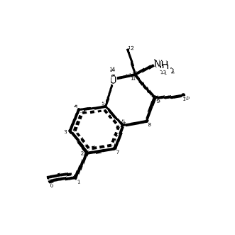 C=Cc1ccc2c(c1)CC(C)C(C)(N)O2